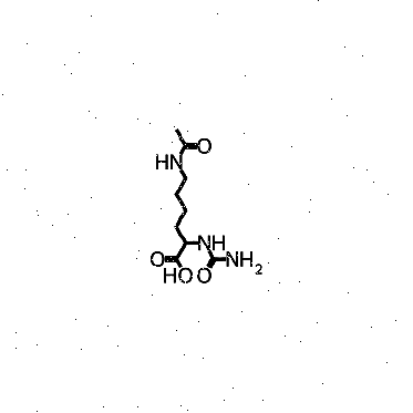 CC(=O)NCCCCC(NC(N)=O)C(=O)O